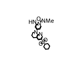 CNC(=O)n1ccc(N2CCCc3cc(S(=O)(=O)C4CCCCC4)cnc32)cc1=N